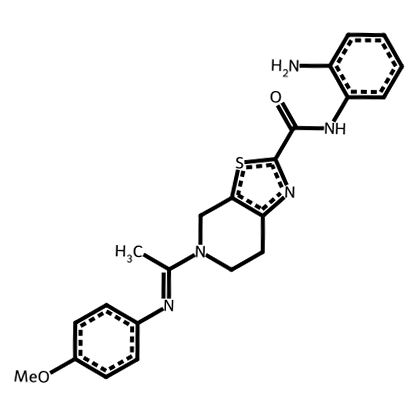 COc1ccc(N=C(C)N2CCc3nc(C(=O)Nc4ccccc4N)sc3C2)cc1